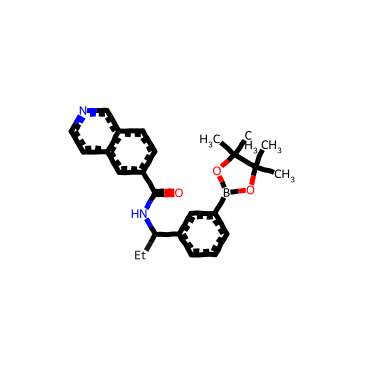 CCC(NC(=O)c1ccc2cnccc2c1)c1cccc(B2OC(C)(C)C(C)(C)O2)c1